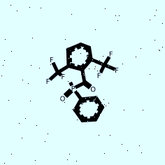 CP(=O)(C(=O)c1c(C(F)(F)F)cccc1C(F)(F)F)c1ccccc1